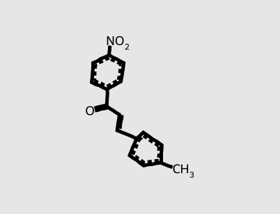 Cc1ccc(C=CC(=O)c2ccc([N+](=O)[O-])cc2)cc1